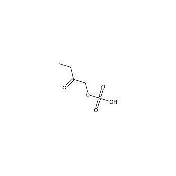 CCC(=O)COS(=O)(=O)O